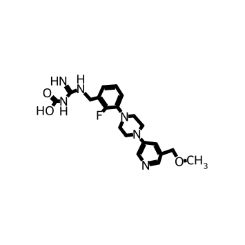 COCc1cncc(N2CCN(c3cccc(CNC(=N)NC(=O)O)c3F)CC2)c1